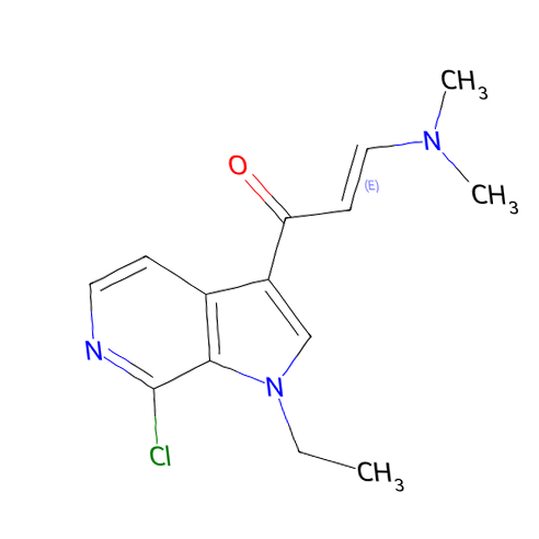 CCn1cc(C(=O)/C=C/N(C)C)c2ccnc(Cl)c21